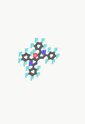 Fc1c(F)c(F)c(-c2cc3c(oc4c(-c5c(F)c(F)c(F)c(F)c5F)nc(-c5c(F)c(F)c(F)c(F)c5F)cc43)c(-c3c(F)c(F)c(F)c(F)c3F)n2)c(F)c1F